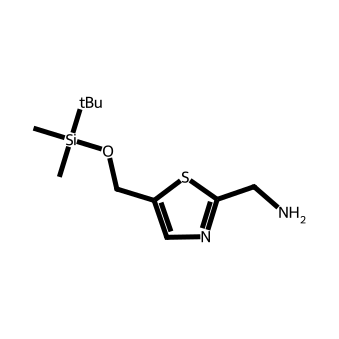 CC(C)(C)[Si](C)(C)OCc1cnc(CN)s1